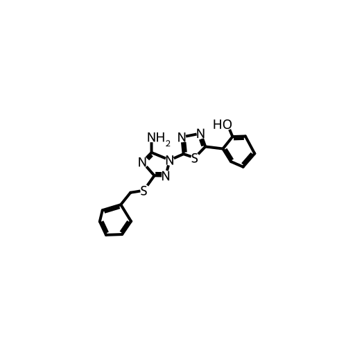 Nc1nc(SCc2ccccc2)nn1-c1nnc(-c2ccccc2O)s1